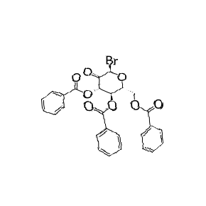 O=C(OC[C@H]1O[C@H](Br)C(=O)[C@@H](OC(=O)c2ccccc2)[C@@H]1OC(=O)c1ccccc1)c1ccccc1